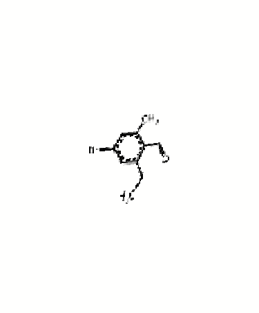 CCc1cc(Br)cc(C)c1C=O